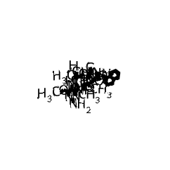 CCOc1nc(N)nc2c1ncn2[C@](C)(F)[C@H](O)[C@@](F)(COP(=O)(NC(C)C(=O)OCC(C)(C)C)Oc1cccc2ccccc12)OC